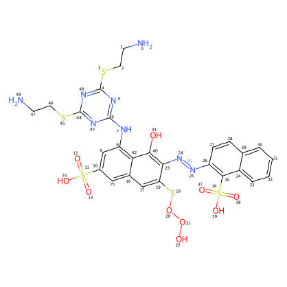 NCCSc1nc(Nc2cc(S(=O)(=O)O)cc3cc(SOOO)c(/N=N/c4ccc5ccccc5c4S(=O)(=O)O)c(O)c23)nc(SCCN)n1